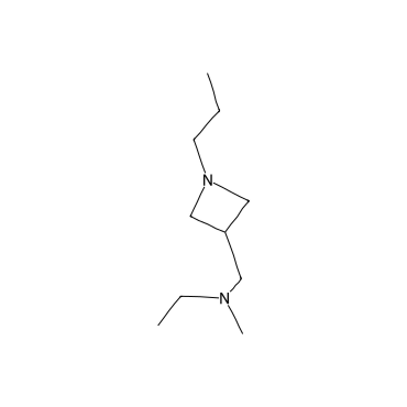 CCCN1CC(CN(C)CC)C1